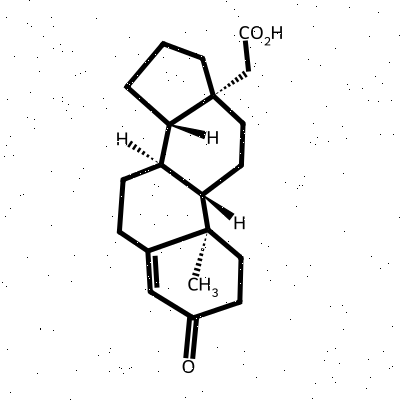 C[C@]12CCC(=O)C=C1CC[C@H]1[C@@H]3CCC[C@@]3(CC(=O)O)CC[C@@H]12